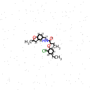 CCc1ccc(OC(CC)C(=O)NCc2ccc3c(c2)CC(C)O3)c(Cl)c1